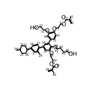 C=C(C)C(=O)OCCOc1ccc(-c2cc(-c3ccc(C4CCC(C)CC4)cc3C)cc(OCCOC(=O)C(=C)C)c2OCCCCO)cc1OCCO